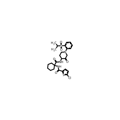 CC(C)S(=O)(=O)c1ccccc1N1CCC(NC(=O)C2(NC(=O)c3ccc(Cl)s3)CCCCC2)C(=O)C1